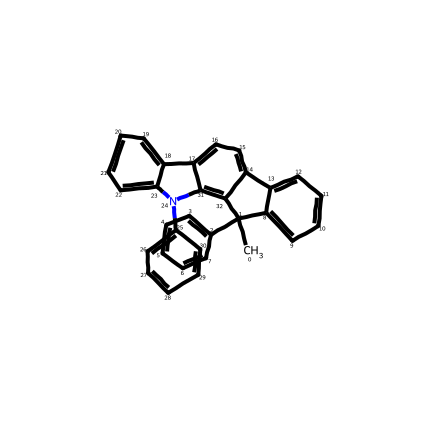 CC1(c2ccccc2)c2ccccc2-c2ccc3c4ccccc4n(-c4ccccc4)c3c21